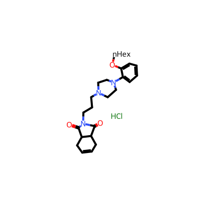 CCCCCCOc1ccccc1N1CCN(CCCN2C(=O)C3CC=CCC3C2=O)CC1.Cl